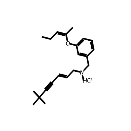 CC/C=C(/C)Oc1cccc(CN(C)C/C=C/C#CC(C)(C)C)c1.Cl